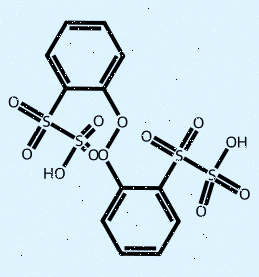 O=S(=O)(O)S(=O)(=O)c1ccccc1OOc1ccccc1S(=O)(=O)S(=O)(=O)O